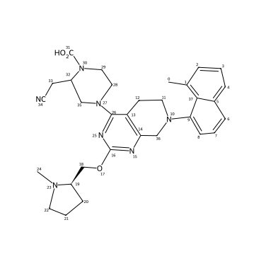 Cc1cccc2cccc(N3CCc4c(nc(OC[C@H]5CCCN5C)nc4N4CCN(C(=O)O)C(CC#N)C4)C3)c12